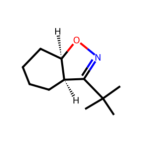 CC(C)(C)C1=NO[C@@H]2CCCC[C@H]12